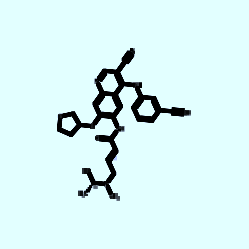 C#Cc1cccc(Nc2c(C#N)cnc3cc(OC4CCOC4)c(NC(=O)/C=C/CN(C)[C@H](C)O)cc23)c1